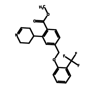 COC(=O)c1ccc(COc2ccccc2C(F)(F)F)cc1C1CC=NCC1